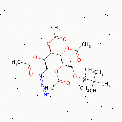 CC(=O)O[C@@H]([C@H](OC(C)=O)[C@@H](CO[Si](C)(C)C(C)(C)C)OC(C)=O)[C@@H](CN=[N+]=[N-])OC(C)=O